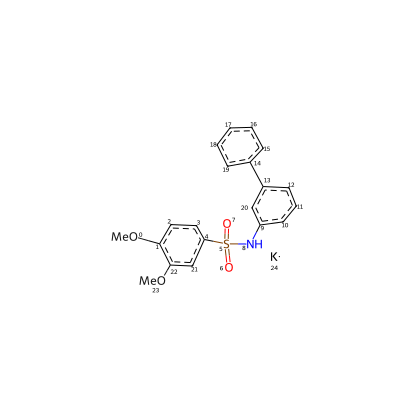 COc1ccc(S(=O)(=O)Nc2cccc(-c3ccccc3)c2)cc1OC.[K]